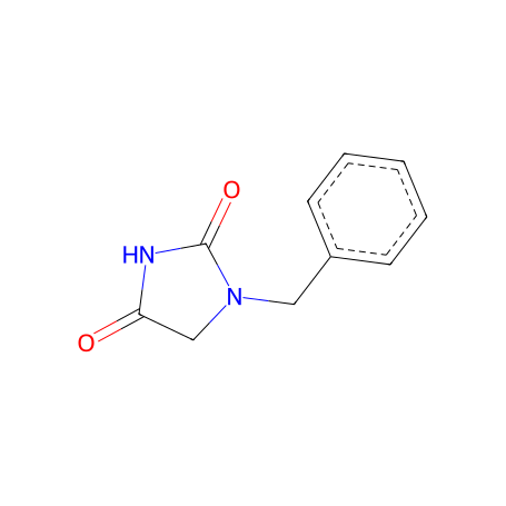 O=C1CN(Cc2ccccc2)C(=O)N1